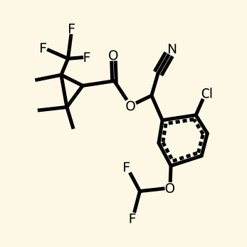 CC1(C)C(C(=O)OC(C#N)c2cc(OC(F)F)ccc2Cl)C1(C)C(F)(F)F